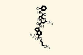 CCCCOC(=O)c1ccc2c(c1C)CCC2NC(=O)c1cc(C)nc2c(C(=O)Nc3ccccc3Cl)cnn12